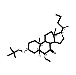 CC[C@H]1C(=O)C2C3CC[C@H]([C@H](C)CCI)[C@@]3(C)CCC2[C@@]2(C)CC[C@@H](OSC(C)(C)C)C[C@@H]12